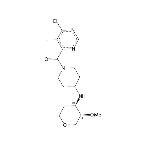 CO[C@H]1COCC[C@H]1NC1CCN(C(=O)c2ncnc(Cl)c2C)CC1